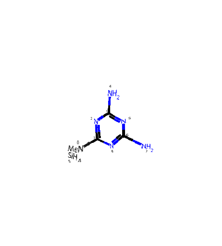 CNc1nc(N)nc(N)n1.[SiH4]